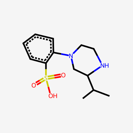 CC(C)C1CN(c2ccccc2S(=O)(=O)O)CCN1